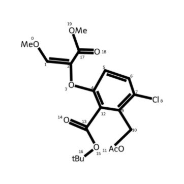 COC=C(Oc1ccc(Cl)c(COC(C)=O)c1C(=O)OC(C)(C)C)C(=O)OC